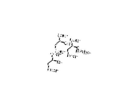 O=C([O-])CC(O)C(=O)[O-].O=C([O-])CC(O)C(=O)[O-].O=C([O-])CC(O)C(=O)[O-].[Pr+3].[Pr+3]